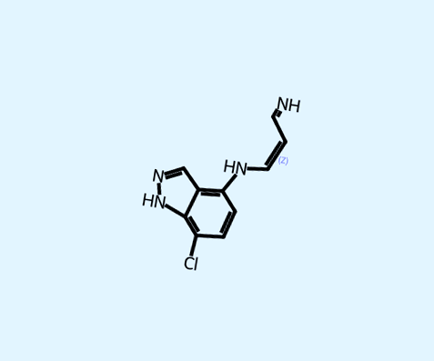 N=C/C=C\Nc1ccc(Cl)c2[nH]ncc12